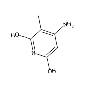 Cc1c(N)cc(O)nc1O